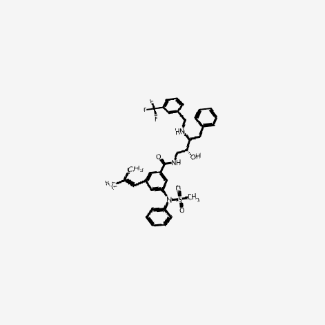 CC(C)=Cc1cc(C(=O)NC[C@@H](O)C(Cc2ccccc2)NCc2cccc(C(F)(F)F)c2)cc(N(c2ccccc2)S(C)(=O)=O)c1